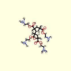 CN(C)CCOC(=O)C(C)(C)CC(C)(CC(C)(CC(C)(C)C(=O)OCCN(C)C)C(=O)OCCN(C)C)C(=O)OCCN(C)C